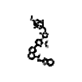 COC12CC3(C)CC4(CC4C(Cn4ncc(-c5ccc(-c6ccc7cccc(C(=O)Nc8nc9cccnc9s8)c7c6)nc5C(=O)O)c4C)(C3)C1)C2